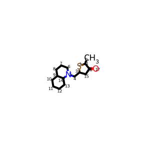 CC1SC(CN2CCCC3CCCCC32)CC1=O